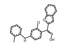 Cc1ccccc1Nc1ccc(C(=NO)c2cc3ccccc3o2)c(Cl)c1